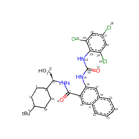 CC(C)(C)C1CCC([C@H](NC(=O)c2cc3ccccc3cc2NC(=O)Nc2c(Cl)cc(Cl)cc2Cl)C(=O)O)CC1